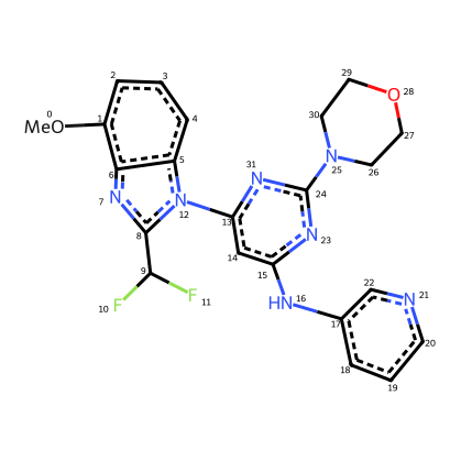 COc1cccc2c1nc(C(F)F)n2-c1cc(Nc2cccnc2)nc(N2CCOCC2)n1